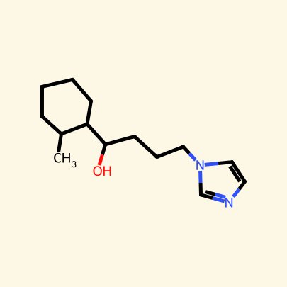 CC1CCCCC1C(O)CCCn1ccnc1